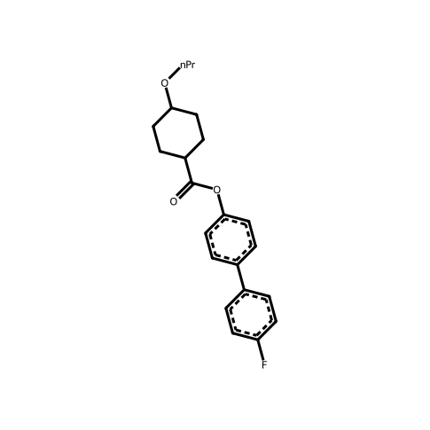 CCCOC1CCC(C(=O)Oc2ccc(-c3ccc(F)cc3)cc2)CC1